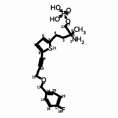 CC(N)(CCc1ccc(C#CCOCc2ccc(F)cc2)s1)COP(=O)(O)O